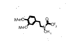 COc1ccc(CCN(C)C(=O)C(F)(F)F)cc1OC